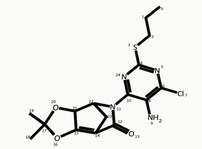 CCCSc1nc(Cl)c(N)c(N2C(=O)C3=C4OC(C)(C)OC4C2C3)n1